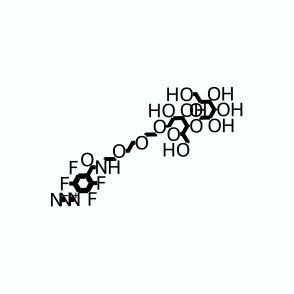 [N-]=[N+]=Nc1c(F)c(F)c(C(=O)NCCOCCOCCO[C@@H]2OC(CO)[C@@H](O[C@@H]3OC(CO)[C@@H](O)[C@H](O)C3O)[C@H](O)C2O)c(F)c1F